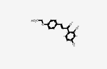 O=C(O)COc1ccc(C=CC(=O)c2ccc(Cl)cc2Cl)cc1